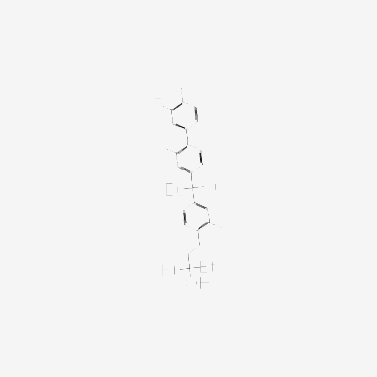 CCC(O)(CC)CCc1ccc(C(CC)(CC)c2ccc(-c3ccc(C)c(F)c3)c(C)c2)cc1C